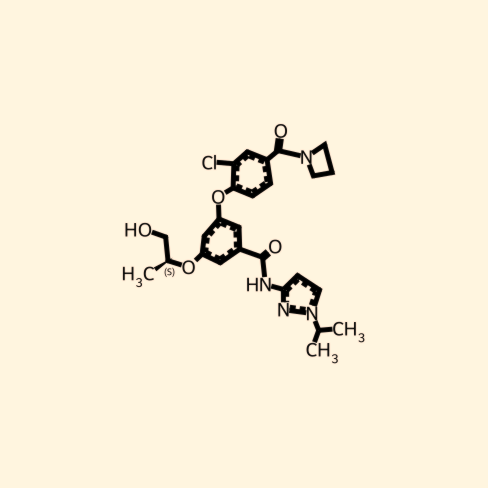 CC(C)n1ccc(NC(=O)c2cc(Oc3ccc(C(=O)N4CCC4)cc3Cl)cc(O[C@@H](C)CO)c2)n1